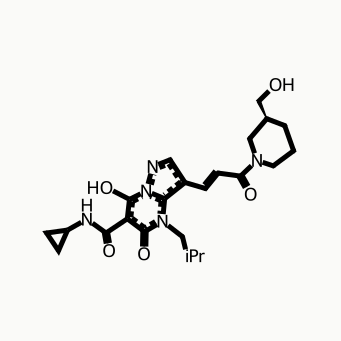 CC(C)Cn1c(=O)c(C(=O)NC2CC2)c(O)n2ncc(/C=C/C(=O)N3CCC[C@H](CO)C3)c12